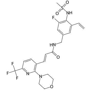 C=Cc1cc(CNC(=O)C=Cc2ccc(C(F)(F)F)nc2N2CCOCC2)cc(F)c1NS(C)(=O)=O